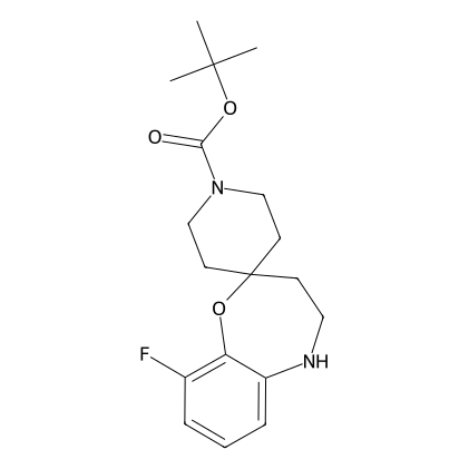 CC(C)(C)OC(=O)N1CCC2(CCNc3cccc(F)c3O2)CC1